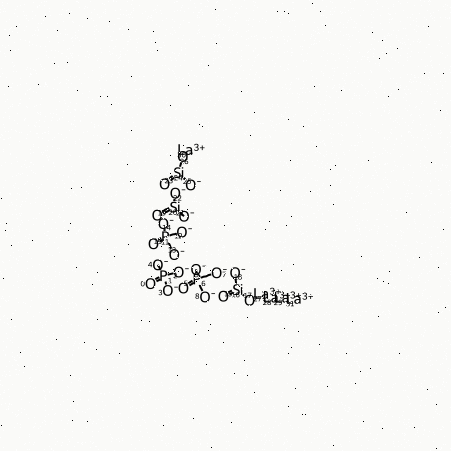 O=P([O-])([O-])[O-].O=P([O-])([O-])[O-].O=P([O-])([O-])[O-].O=[Si]([O-])[O-].O=[Si]([O-])[O-].O=[Si]([O-])[O-].[La+3].[La+3].[La+3].[La+3].[La+3]